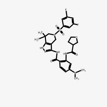 CN(C)c1ccc(C(=O)Nc2n[nH]c3c2CN(S(=O)(=O)c2cc(F)cc(F)c2)CC3(C)C)c(NC(=O)C2CCOC2)c1